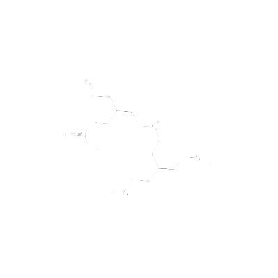 O=[N+]([O-])OCC(CO[N+](=O)[O-])CO[N+](=O)OCC(CO[N+](=O)[O-])CO[N+](=O)O